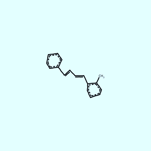 Cc1ccccc1C=C/C=C/c1ccccc1